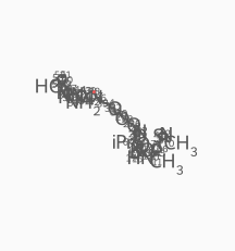 Cc1ncsc1-c1ccc([C@H](C)NC(=O)[C@@H]2CCCN2C(=O)[C@H](c2cc(OCCOCCOCCCCN3CCC4(CC3)CCN(c3cc(-c5ccccc5O)nnc3N)CC4)no2)C(C)C)cc1